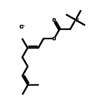 CC(C)=CCCC(C)=CCOC(=O)C[N+](C)(C)C.[Cl-]